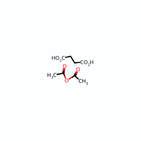 CC(=O)OC(C)=O.O=C(O)CCC(=O)O